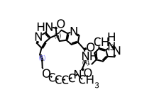 Cc1cc(C[C@H]2NC(=O)c3cnc4c(c3)C[C@@]3(C4)C(=O)Nc4ncc(cc43)/C=C/COCCCCN(C)C2=O)cc2cn[nH]c12